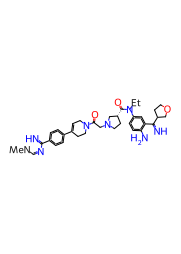 CCN(C(=O)[C@@H]1CCN(CC(=O)N2CC=C(c3ccc(C(=N)/N=C\NC)cc3)CC2)C1)c1ccc(N)c(C(=N)C2CCOC2)c1